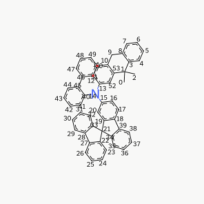 CC1(C)c2ccccc2Cc2ccc(N(c3ccc4c(c3)C3(c5ccccc5-c5ccccc53)c3ccccc3-4)c3ccccc3-c3ccccc3)cc21